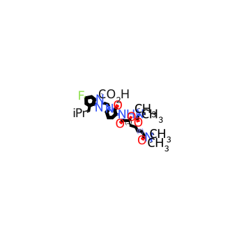 CC(C)Cc1cc(F)cc2c1nc(Cn1cccc(NC(=O)[C@H](CC/C=C/C(=O)N(C)C)OC(=O)N(C)C)c1=O)n2C(=O)O